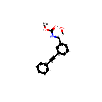 CC(C)(C)OC(=O)N[C@H](CO)c1cccc(C#Cc2ccccc2)c1